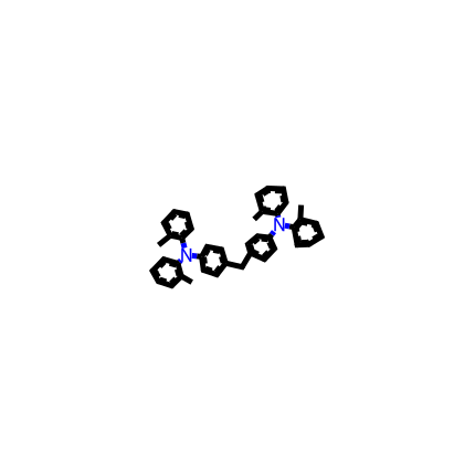 Cc1ccccc1N(c1ccc(Cc2ccc(N(c3ccccc3C)c3ccccc3C)cc2)cc1)c1ccccc1C